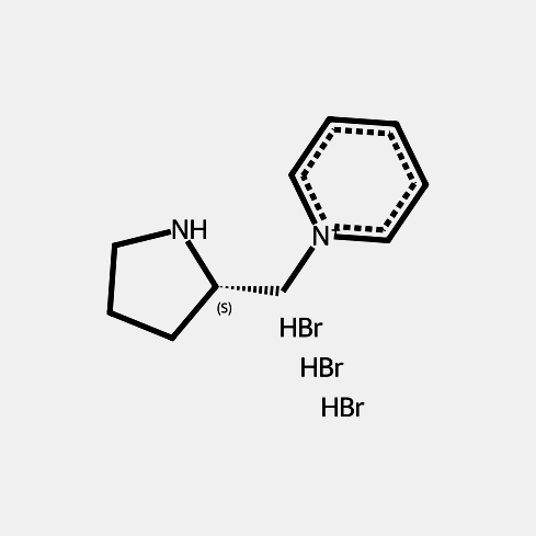 Br.Br.Br.c1cc[n+](C[C@@H]2CCCN2)cc1